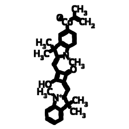 C=[C](C)[Co](=[O])[c]1ccc2c(c1)C(C)(C)C(=CC1=C(O)C(=CC3=[N+](C)c4ccccc4C3(C)C)C1=O)N2C